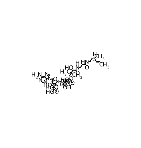 CC=C[SH](C)CCNC(=O)CCNC(=O)C(O)C(C)(C)COP(=O)(O)OP(=O)(O)OC[C@H]1O[C@@H](n2cnc3c(N)ncnc32)[C@H](O)[C@@H]1OP(=O)(O)O